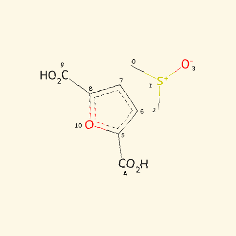 C[S+](C)[O-].O=C(O)c1ccc(C(=O)O)o1